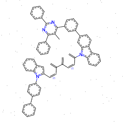 C=C(/C=C\C(=C)n1c2ccccc2c2ccc(-c3cccc(-c4nc(-c5ccccc5)nc(-c5ccccc5)c4C)c3)cc21)C(=C)/C=C\c1cc2ccccc2n1-c1ccc(-c2ccccc2)cc1